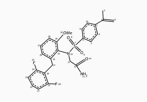 C=C(C)c1ccc(S(=O)(=O)N(CC(N)=O)c2c(Cc3c(F)cccc3F)cccc2OC)cc1